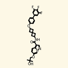 CC(C)(O)COc1ccc2c(C(=O)NC3CC4(C3)CC(Oc3ccc(-c5cc(F)c(F)c(F)c5)cc3)C4)cnn2c1